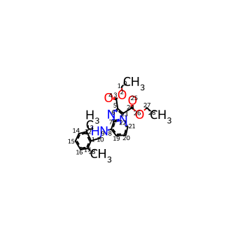 CCOC(=O)c1nc2c(NCc3c(C)cccc3C)cccn2c1C(=O)OCC